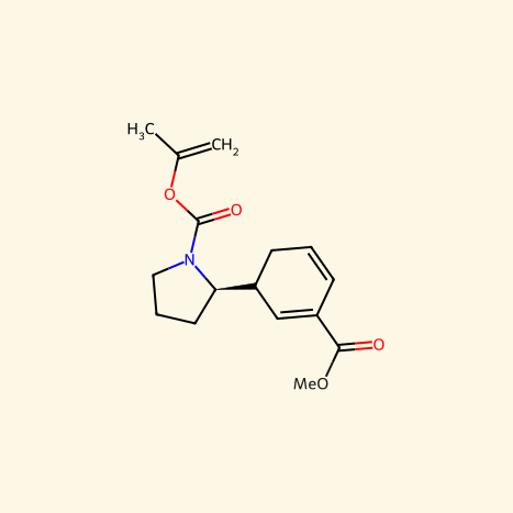 C=C(C)OC(=O)N1CCC[C@@H]1C1C=C(C(=O)OC)C=CC1